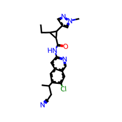 CCC1C(C(=O)Nc2cc3cc(C(C)CC#N)c(Cl)cc3cn2)C1c1cnn(C)c1